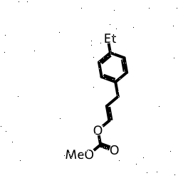 CCc1ccc(CC=COC(=O)OC)cc1